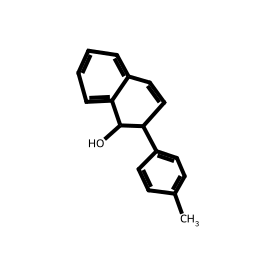 Cc1ccc(C2C=Cc3ccccc3C2O)cc1